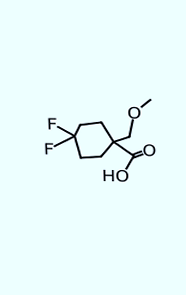 COCC1(C(=O)O)CCC(F)(F)CC1